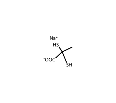 CC(S)(S)C(=O)[O-].[Na+]